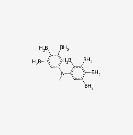 Bc1cc(N(C)c2cc(B)c(B)c(B)c2B)cc(B)c1B